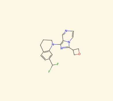 FC(F)c1ccc2c(c1)N(c1nc(C3COC3)n3ccncc13)CCC2